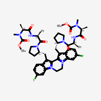 CC(C)[C@H](NC(=O)[C@H](C)N(C)C(=O)OC(C)(C)C)C(=O)N1CCC[C@H]1Cc1c2n(c3cc(F)ccc13)CCn1c-2c(C[C@@H]2CCCN2C(=O)[C@@H](NC(=O)[C@H](C)N(C)C(=O)OC(C)(C)C)C(C)C)c2ccc(F)cc21